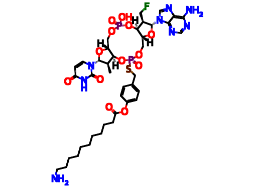 C[C@@H]1[C@@H]2OP(=O)(SCc3ccc(OC(=O)CCCCCCCCCCN)cc3)OC[C@H]3O[C@@H](n4cnc5c(N)ncnc54)[C@H](CF)[C@@H]3OP(=O)(O)OC[C@H]2O[C@H]1n1ccc(=O)[nH]c1=O